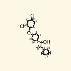 OC(c1ccc(Oc2ccc(Cl)cc2Cl)cc1)C(F)n1cncn1